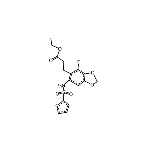 CCOC(=O)CCc1c(NS(=O)(=O)c2cccs2)cc2c(c1F)OCO2